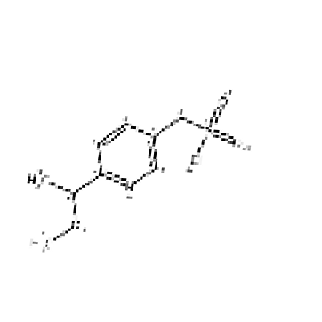 COC(C)c1ccc(CS(=O)(=O)Cl)cn1